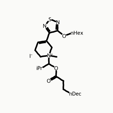 CCCCCCCCCCCCC(=O)OC(C(C)C)[N+]1(C)CCC=C(c2nsnc2OCCCCCC)C1.[I-]